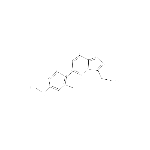 COCc1nnc2ccc(-c3ccc(OC(F)(F)F)cc3C)nn12